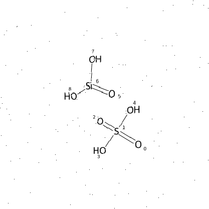 O=S(=O)(O)O.O=[Si](O)O